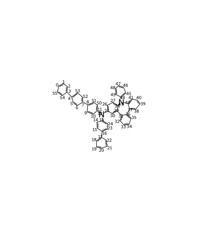 c1ccc(-c2ccc(-c3ccc(N(c4ccc(-c5ccccc5)cc4)c4ccc5c(c4)-c4ccccc4-c4ccccc4N5c4ccccc4)cc3)cc2)cc1